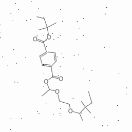 CCC(C)(C)OC(=O)c1ccc(C(=O)OC(C)OCCOC(C)C(C)(C)CC)cc1